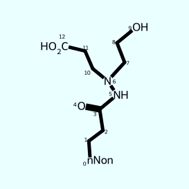 CCCCCCCCCCCC(=O)NN(CCO)CCC(=O)O